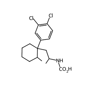 CC(CC1(c2ccc(Cl)c(Cl)c2)CCCCC1C)NC(=O)O